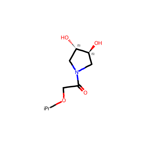 CC(C)OCC(=O)N1C[C@H](O)[C@@H](O)C1